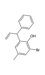 C=CC(c1ccccc1)c1cc(C)cc(Br)c1O